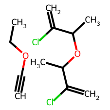 C#COCC.C=C(Cl)C(C)OC(C)C(=C)Cl